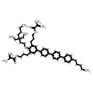 C=C(C)C(=O)OCCCc1cc(-c2ccc(-c3ccc(-c4ccc(CCCCC)cc4)cc3)cc2)cc(CCCOC(=O)C(=C)C)c1OCCC(CO)(CO)CCCC